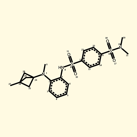 CN(c1ccccc1NS(=O)(=O)c1ccc(S(=O)(=O)N(C)C)cc1)C12CC(C)(C1)C2